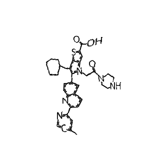 Cc1ccnc(-c2ccc3cc(-c4c(C5CCCCC5)c5sc(C(=O)O)cc5n4CC(=O)N4CCNCC4)ccc3n2)c1